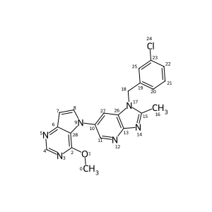 COc1ncnc2ccn(-c3cnc4nc(C)n(Cc5cccc(Cl)c5)c4c3)c12